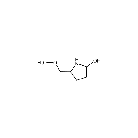 COCC1CCC(O)N1